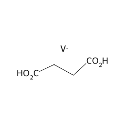 O=C(O)CCC(=O)O.[V]